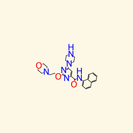 O=C(Nc1cccc2ccccc12)c1cc(N2CCNCC2)nc(OCCN2CCOCC2)n1